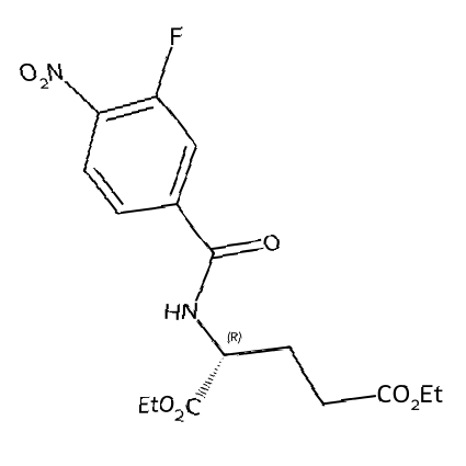 CCOC(=O)CC[C@@H](NC(=O)c1ccc([N+](=O)[O-])c(F)c1)C(=O)OCC